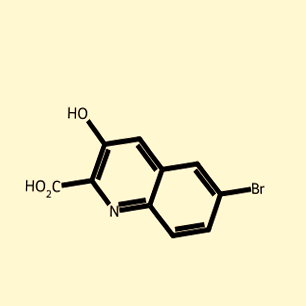 O=C(O)c1nc2ccc(Br)cc2cc1O